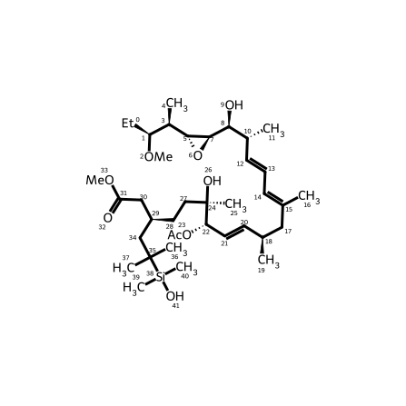 CC[C@H](OC)[C@@H](C)[C@H]1O[C@@H]1[C@@H](O)[C@H](C)/C=C/C=C(\C)C[C@@H](C)/C=C/[C@H](OC(C)=O)[C@](C)(O)CC[C@H](CC(=O)OC)CC(C)(C)[Si](C)(C)O